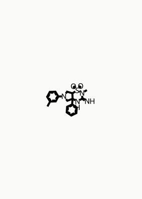 Cc1cccc(N2CC3C(c4ccccc4)(C2)NC(=N)N(C)S3(=O)=O)c1